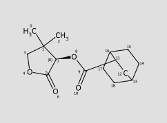 CC1(C)COC(=O)[C@@H]1OC(=O)C1CC2CCC1CC2